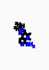 [2H]C([2H])([2H])n1cc2c(n1)-c1ccnc(N)c1N(C)C2C